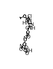 Cn1c(=O)n(C2CCC(=O)NC2=O)c2ccc(C3CCN(CC(=O)N4CCC(C(=O)Nc5cncc(Nc6ncc(Cl)c(-c7cccc(C8CC8)c7)n6)c5)CC4)CC3)cc21